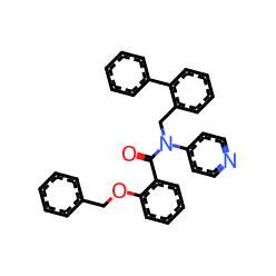 O=C(c1ccccc1OCc1ccccc1)N(Cc1ccccc1-c1ccccc1)c1ccncc1